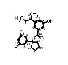 CCC(C)c1cc(O)cc(C(=O)OC2(c3cc(F)cc(F)c3)CCCC2)c1